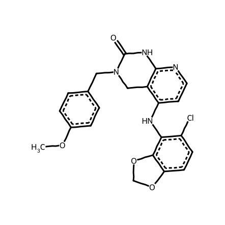 COc1ccc(CN2Cc3c(Nc4c(Cl)ccc5c4OCO5)ccnc3NC2=O)cc1